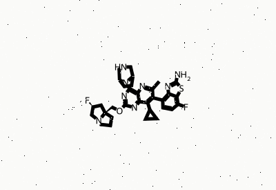 Cc1nc2c(N3C4CCC3CNC4)nc(OC[C@@]34CCCN3C[C@H](F)C4)nc2c(C2CC2)c1-c1ccc(F)c2sc(N)nc12